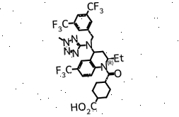 CC[C@@H]1CC(N(Cc2cc(C(F)(F)F)cc(C(F)(F)F)c2)c2nnn(C)n2)c2cc(C(F)(F)F)ccc2N1C(=O)C1CCC(C(=O)O)CC1